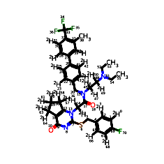 [2H]c1c([2H])c(CSc2nc(=O)c3c(n2C([2H])([2H])C(=O)N(Cc2c([2H])c([2H])c(-c4c([2H])c([2H])c(C(F)(F)F)c(C)c4[2H])c([2H])c2[2H])C([2H])([2H])C([2H])([2H])N(CC)CC)C([2H])([2H])C([2H])([2H])C3([2H])[2H])c([2H])c([2H])c1F